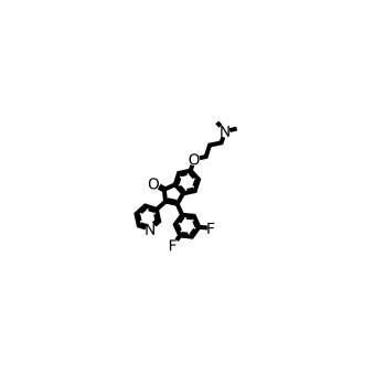 CN(C)CCCOc1ccc2c(c1)C(=O)C(c1cccnc1)=C2c1cc(F)cc(F)c1